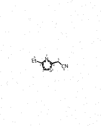 CCc1csc(CC#N)n1